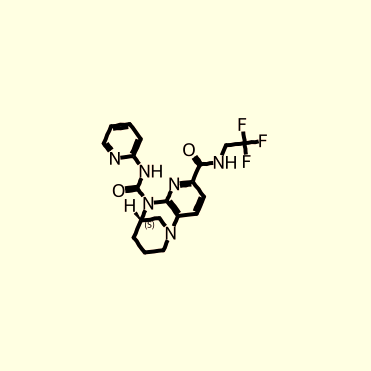 O=C(NCC(F)(F)F)c1ccc2c(n1)N(C(=O)Nc1ccccn1)[C@H]1CCCN2C1